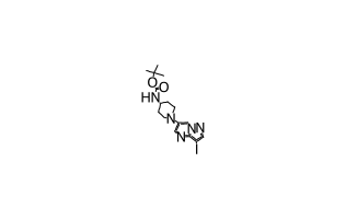 CC(C)(C)OC(=O)NC1CCN(c2cnc3c(I)cnn3c2)CC1